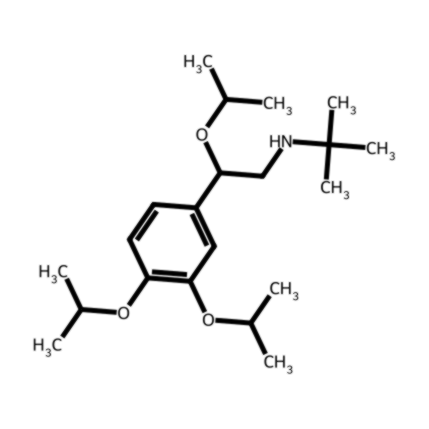 CC(C)Oc1ccc(C(CNC(C)(C)C)OC(C)C)cc1OC(C)C